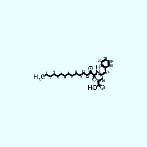 CCCCCCCCCCCCCC(=O)C(=O)N[C@H](CCC(=O)O)Cc1ccccc1